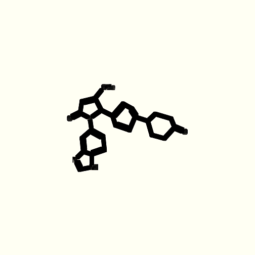 COC1=CC(=O)N(c2ccc3[nH]cnc3c2)C1c1ccc(C2CCC(=O)CC2)cc1